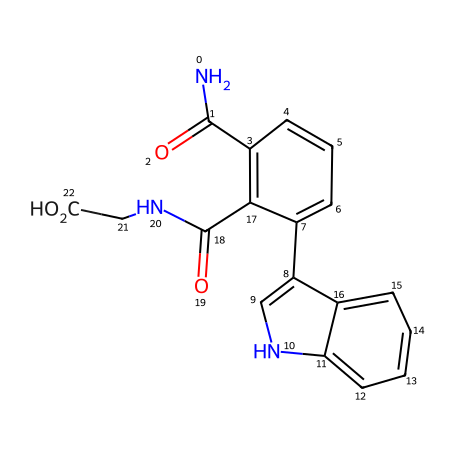 NC(=O)c1cccc(-c2c[nH]c3ccccc23)c1C(=O)NCC(=O)O